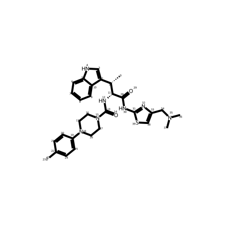 C[C@@H](c1c[nH]c2ccccc12)[C@@H](NC(=O)N1CCN(c2ccc(F)cc2)CC1)C(=O)Nc1nc(CN(C)C)cs1